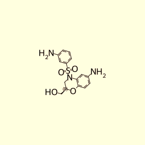 Nc1cccc(S(=O)(=O)N2C[C@H](CO)Oc3ccc(N)cc32)c1